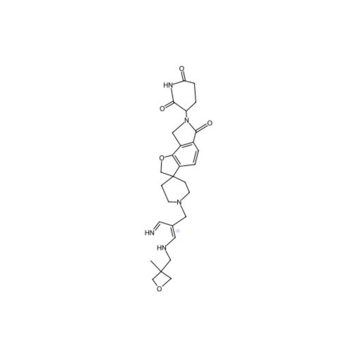 CC1(CN/C=C(\C=N)CN2CCC3(CC2)COc2c3ccc3c2CN(C2CCC(=O)NC2=O)C3=O)COC1